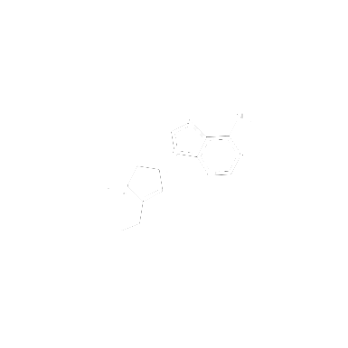 Nc1ncnc2c1ncn2[C@@H]1C=C(CO)[C@H](O)C1